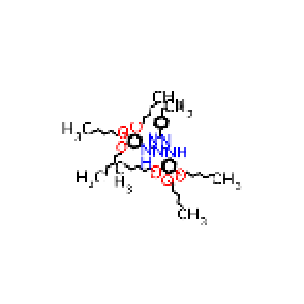 [CH2]Cc1ccc(-c2nc(Nc3cc(OCCCCCC)c(OCCCCCC)c(OCCCCCC)c3)nc(Nc3cc(OCCCCCC)c(OCCCCCC)c(OCCCCCC)c3)n2)cc1